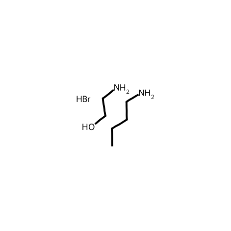 Br.CCCCN.NCCO